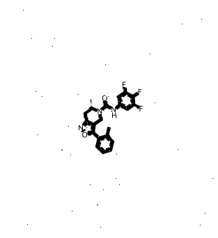 Cc1ccccc1-c1onc2c1CN(C(=O)Nc1cc(F)c(F)c(F)c1)[C@@H](C)C2